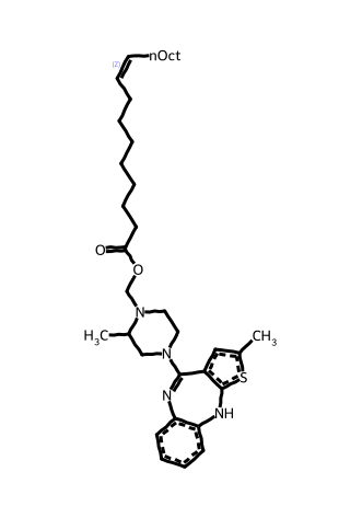 CCCCCCCC/C=C\CCCCCCCC(=O)OCN1CCN(C2=Nc3ccccc3Nc3sc(C)cc32)CC1C